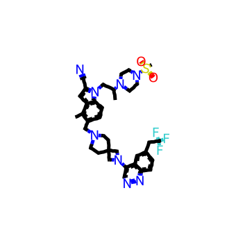 Cc1c(CN2CCC3(CC2)CN(c2cnnc4ccc(CC(F)(F)F)cc24)C3)ccc2c1cc(C#N)n2CC(C)N1CCN(S(C)(=O)=O)CC1